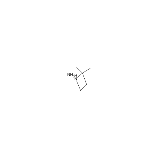 CC1(C)CCN1.N